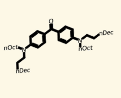 CCCCCCCCCCCCN(CCCCCCCC)c1ccc(C(=O)c2ccc(N(CCCCCCCC)CCCCCCCCCCCC)cc2)cc1